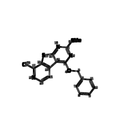 CSc1nc(OCc2ccccc2)c2c(n1)sc1c(Cl)nccc12